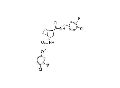 O=C(COc1ccc(Cl)c(F)c1)N[C@H]1CC(C(=O)NCc2ccc(Cl)c(F)c2)C2CCC21